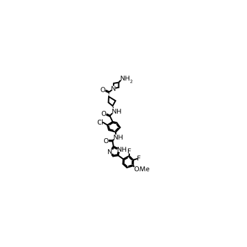 COc1ccc(-c2cnc(C(=O)Nc3ccc(C(=O)N[C@H]4C[C@@H](C(=O)N5CC(N)C5)C4)c(Cl)c3)[nH]2)c(F)c1F